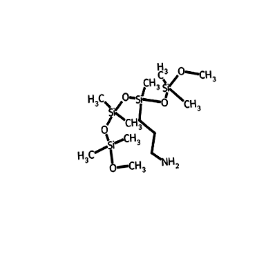 CO[Si](C)(C)O[Si](C)(C)O[Si](C)(CCCN)O[Si](C)(C)OC